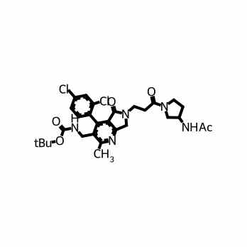 CC(=O)NC1CCN(C(=O)CCN2Cc3nc(C)c(CNC(=O)OC(C)(C)C)c(-c4ccc(Cl)cc4Cl)c3C2=O)C1